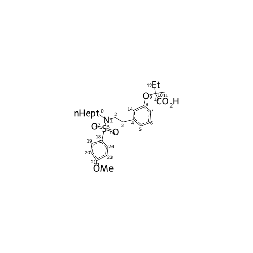 CCCCCCCN(CCc1cccc(OC(C)(CC)C(=O)O)c1)S(=O)(=O)c1ccc(OC)cc1